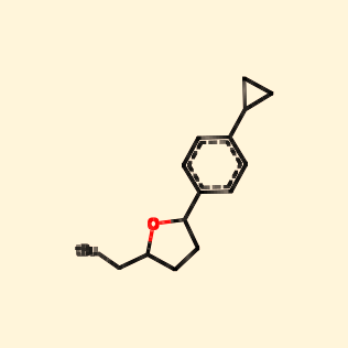 CC(C)(C)CC1CCC(c2ccc(C3CC3)cc2)O1